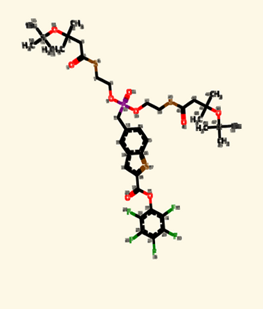 CC(C)(CC(=O)SCCOP(=O)(Cc1ccc2sc(C(=O)Oc3c(F)c(F)c(F)c(F)c3F)cc2c1)OCCSC(=O)CC(C)(C)O[Si](C)(C)C(C)(C)C)O[Si](C)(C)C(C)(C)C